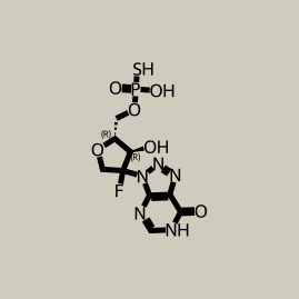 O=c1[nH]cnc2c1nnn2C1(F)CO[C@H](COP(=O)(O)S)[C@H]1O